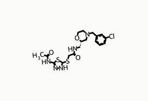 CC(=O)NC1=NNC(SCC(=O)NC[C@H]2CN(Cc3cccc(Cl)c3)CCO2)S1